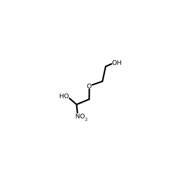 O=[N+]([O-])C(O)COCCO